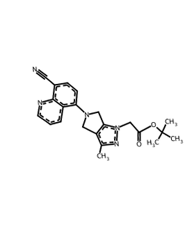 Cc1nn(CC(=O)OC(C)(C)C)c2c1CN(c1ccc(C#N)c3ncccc13)C2